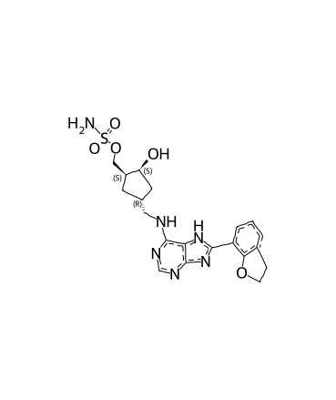 NS(=O)(=O)OC[C@@H]1C[C@@H](CNc2ncnc3nc(-c4cccc5c4OCC5)[nH]c23)C[C@@H]1O